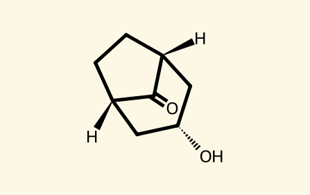 O=C1[C@@H]2CC[C@H]1C[C@@H](O)C2